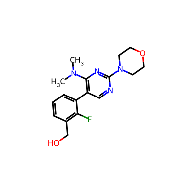 CN(C)c1nc(N2CCOCC2)ncc1-c1cccc(CO)c1F